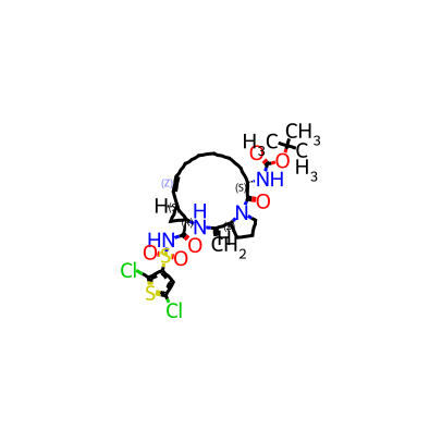 C=C1N[C@]2(C(=O)NS(=O)(=O)c3cc(Cl)sc3Cl)C[C@H]2/C=C\CCCCC[C@H](NC(=O)OC(C)(C)C)C(=O)N2CCC[C@@H]12